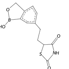 O=C1NC(=O)C(CCc2ccc3c(c2)B(O)OC3)S1